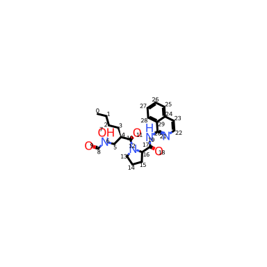 CCCC[C@H](CN(O)C=O)C(=O)N1CCCC1C(=O)Nc1nccc2ccccc12